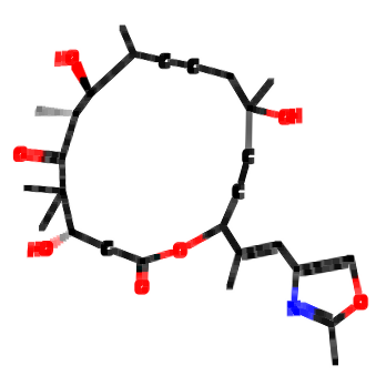 C/C(=C\c1coc(C)n1)C1CCC(C)(O)CCCC(C)[C@H](O)[C@@H](C)C(=O)C(C)(C)[C@@H](O)CC(=O)O1